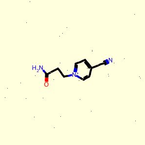 N#Cc1cc[n+](CCC(N)=O)cc1